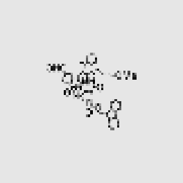 COCCCCC1(CNC(=O)C2CC(NS(=O)(=O)c3ccc(C=O)cc3)CN(C(=O)OCC3c4ccccc4-c4ccccc43)C2)c2ccccc2Oc2ccccc21